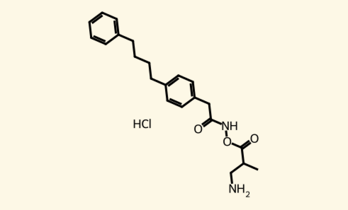 CC(CN)C(=O)ONC(=O)Cc1ccc(CCCCc2ccccc2)cc1.Cl